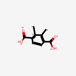 Cc1c(C(=O)O)ccc(C(=O)O)c1C